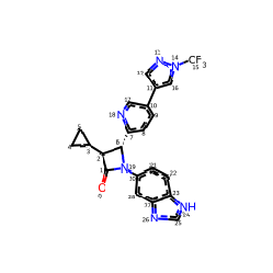 O=C1C(C2CC2)[C@H](c2ccc(-c3cnn(C(F)(F)F)c3)cn2)N1c1ccc2[nH]cnc2c1